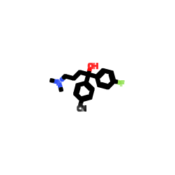 CN(C)CCCC(O)(c1ccc(F)cc1)c1ccc(C#N)cc1